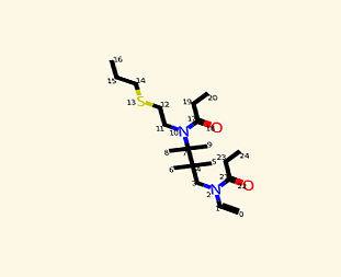 C=CN(CC(C)(C)C(C)(C)N(CCSCCC)C(=O)CC)C(=O)CC